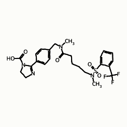 CN(Cc1ccc(C2=NCCN2C(=O)O)cc1)C(=O)CCCCN(C)S(=O)(=O)c1ccccc1C(F)(F)F